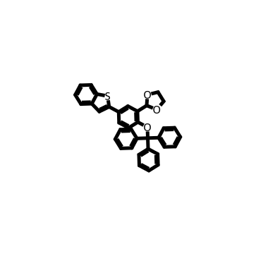 c1ccc(C(Oc2ccc(-c3cc4ccccc4s3)cc2C2OCCO2)(c2ccccc2)c2ccccc2)cc1